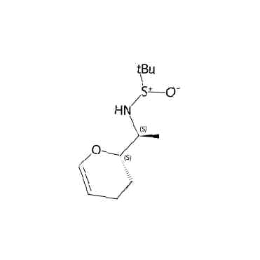 C[C@H](N[S+]([O-])C(C)(C)C)[C@@H]1CCC=CO1